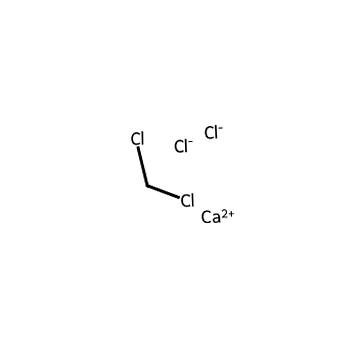 ClCCl.[Ca+2].[Cl-].[Cl-]